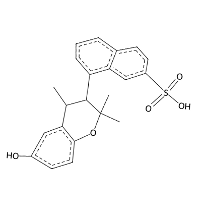 CC1c2cc(O)ccc2OC(C)(C)C1c1cccc2ccc(S(=O)(=O)O)cc12